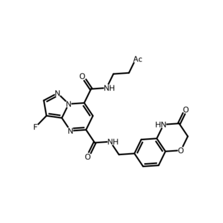 CC(=O)CCNC(=O)c1cc(C(=O)NCc2ccc3c(c2)NC(=O)CO3)nc2c(F)cnn12